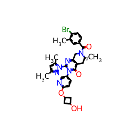 Cc1cc(C)n(-c2nc3c(c(=O)n2-c2ccc(O[C@H]4C[C@@H](O)C4)nc2)C[C@@H](C)N(C(=O)c2ccc(Br)c(C)c2)C3)n1